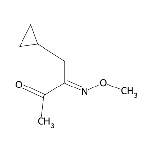 CO/N=C(\CC1CC1)C(C)=O